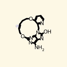 Nc1nc2nc3c1nc(O)n3Cc1ncccc1OCC/C=C\CO2